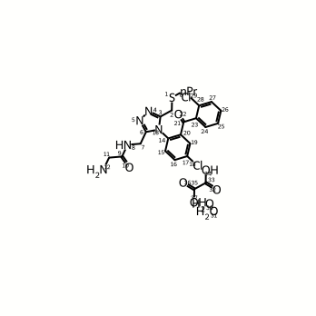 CCCSCc1nnc(CNC(=O)CN)n1-c1ccc(Cl)cc1C(=O)c1ccccc1Cl.O.O.O=C(O)C(=O)O